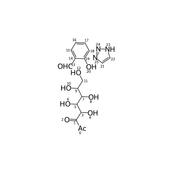 CC(=O)C(=O)C(O)C(O)C(O)C(O)CO.O=Cc1ccccc1O.c1c[nH]nn1